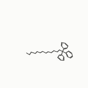 CCCCCCCCCCCCCC(c1ccccc1)(c1ccccc1)c1ccccc1